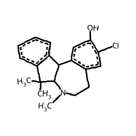 CN1CCc2cc(Cl)c(O)cc2C2c3ccccc3C(C)(C)C21